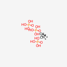 C.C.C.O=P(O)(O)O.O=P(O)(O)O.O=P(O)(O)O